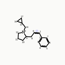 C(=C/c1ccccc1)/CC1CCCN1CC1CC1